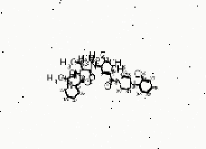 C/C(=C\[C@H](C(C)C)N(C)C(=O)[C@@H](NC(=O)C1CCCCN1C(C)C)C(C)C)C(=O)N1CCN(c2ccccc2Cl)CC1